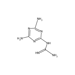 N=C(N)Nc1nc(N)nc(N)n1